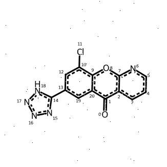 O=c1c2cccnc2oc2c(Cl)cc(-c3nnn[nH]3)cc12